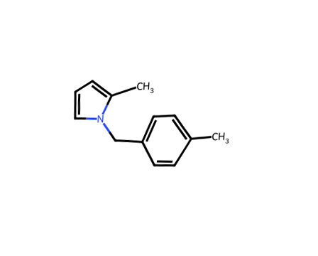 Cc1ccc(Cn2cccc2C)cc1